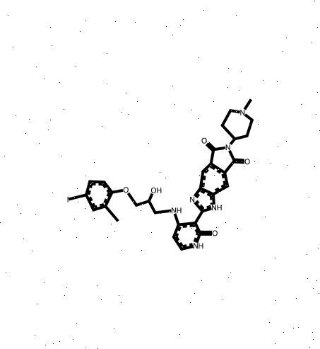 Cc1cc(I)ccc1OCC(O)CNc1cc[nH]c(=O)c1-c1nc2cc3c(cc2[nH]1)C(=O)N(C1CCN(C)CC1)C3=O